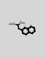 CCCCCCCCCCC(Cc1ccc2ccccc2c1)OC(C)=O